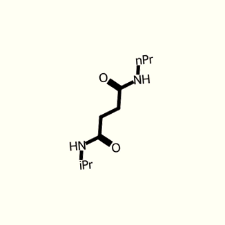 CCCNC(=O)CCC(=O)NC(C)C